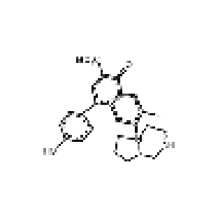 CCOC(=O)c1cn(-c2ccc(O)cc2)c2cc([N+]34CCCC3CNCC4)c(F)cc2c1=O